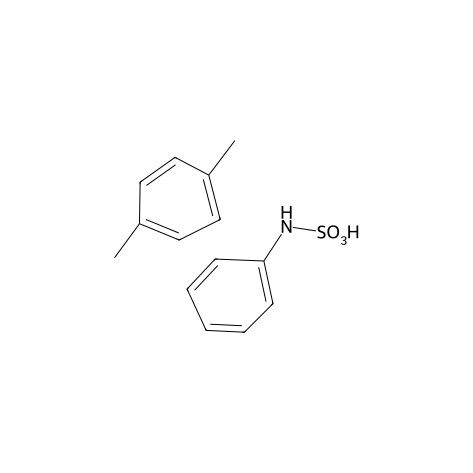 Cc1ccc(C)cc1.O=S(=O)(O)Nc1ccccc1